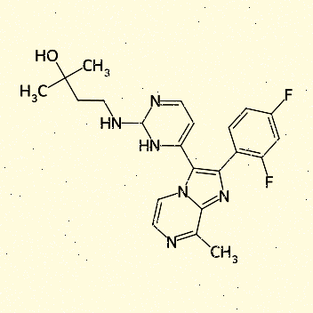 Cc1nccn2c(C3=CC=NC(NCCC(C)(C)O)N3)c(-c3ccc(F)cc3F)nc12